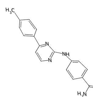 Cc1ccc(-c2ccnc(Nc3ccc(C(N)=O)cc3)n2)cc1